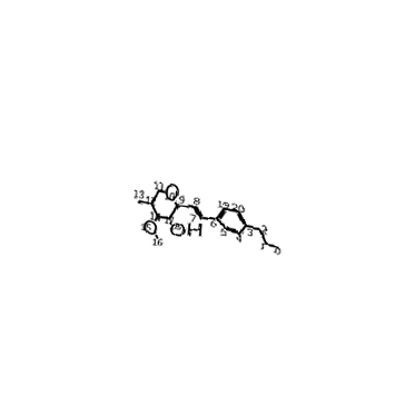 CCCc1ccc(C=C[C@@H]2OC[C@H](C)[C@H](OC)[C@H]2O)cc1